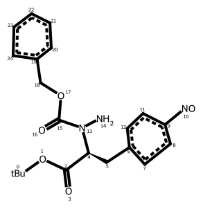 CC(C)(C)OC(=O)[C@H](Cc1ccc(N=O)cc1)N(N)C(=O)OCc1ccccc1